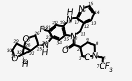 O=C(C1CCN(CC(F)(F)F)CC1)N1Cc2cccnc2Nc2cc(F)c(N[C@@H]3COC45CCO[C@@H]4C35)cc21